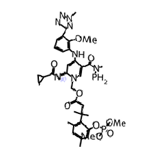 COc1c(Nc2c/c(=N\C(=O)C3CC3)n(COC(=O)CC(C)(C)c3c(C)cc(C)cc3OP(=O)(OC)OC)cc2C(=O)N(C)P)cccc1-c1nnn(C)n1